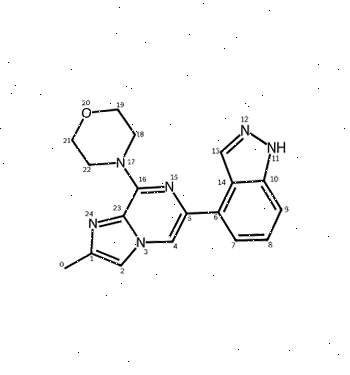 Cc1cn2cc(-c3cccc4[nH]ncc34)nc(N3CCOCC3)c2n1